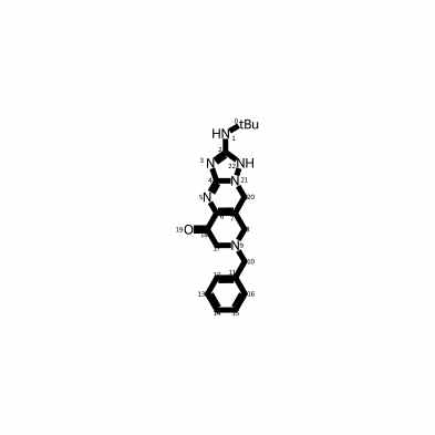 CC(C)(C)NC1=NC2=NC3=C(CN(Cc4ccccc4)CC3=O)CN2N1